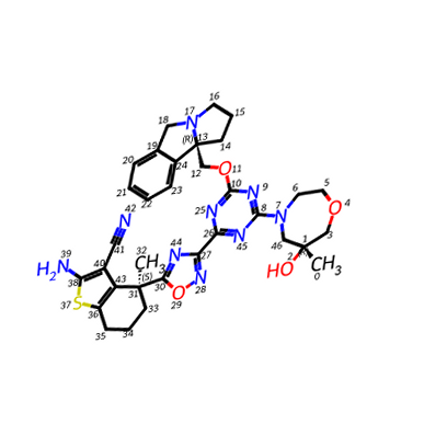 C[C@]1(O)COCCN(c2nc(OC[C@]34CCCN3Cc3ccccc34)nc(-c3noc([C@@]4(C)CCCc5sc(N)c(C#N)c54)n3)n2)C1